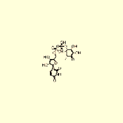 C[C@@H]1O[C@H](OP(=O)(O)OP(=O)(O)OC[C@H]2OC(n3ccc(=O)[nH]c3=O)[C@H](O)[C@@H]2O)[C@H](O)[C@H](O)C1=O